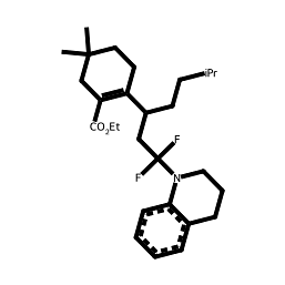 CCOC(=O)C1=C(C(CCC(C)C)CC(F)(F)N2CCCc3ccccc32)CCC(C)(C)C1